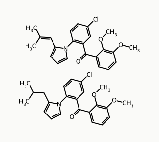 COc1cccc(C(=O)c2cc(Cl)ccc2-n2cccc2C=C(C)C)c1OC.COc1cccc(C(=O)c2cc(Cl)ccc2-n2cccc2CC(C)C)c1OC